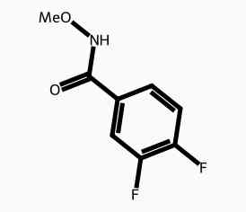 CONC(=O)c1ccc(F)c(F)c1